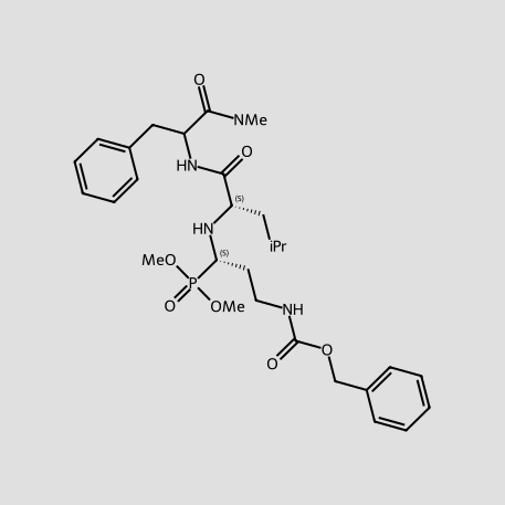 CNC(=O)C(Cc1ccccc1)NC(=O)[C@H](CC(C)C)N[C@H](CCNC(=O)OCc1ccccc1)P(=O)(OC)OC